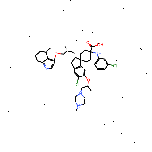 CC(CN1CCN(C)CC1)Oc1cc2c(cc1Cl)C[C@H](C[C@@H](C)COc1ccnc3c1[C@H](C)CCC3)C21CCC(Nc2cccc(Cl)c2)(C(=O)O)CC1